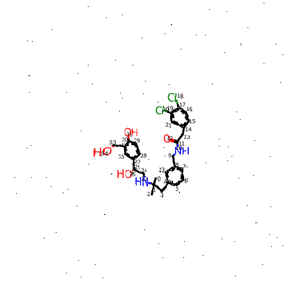 CC(C)(Cc1cccc(CNC(=O)Cc2ccc(Cl)c(Cl)c2)c1)NC[C@@H](O)c1ccc(O)c(CO)c1